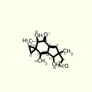 CC(=O)OCC1(C)C=C2C(=O)[C@](C)(O)C3(CC3)C(C)=C2C1O